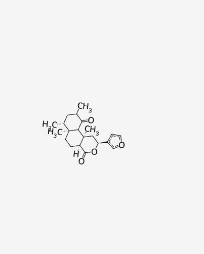 CC1C[C@@H](C)[C@]2(C)CC[C@@H]3C(=O)O[C@H](c4ccoc4)C[C@]3(C)C2C1=O